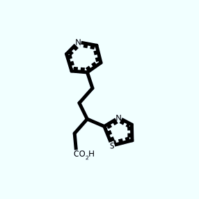 O=C(O)CC(CCc1ccncc1)c1nccs1